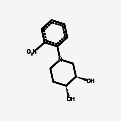 O=[N+]([O-])c1ccccc1N1CC[C@@H](O)[C@@H](O)C1